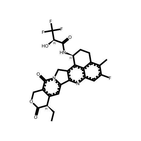 CC[C@H]1C(=O)OCc2c1cc1n(c2=O)Cc2c-1nc1cc(F)c(C)c3c1c2[C@@H](NC(=O)[C@@H](O)C(F)(F)F)CC3